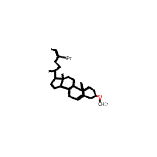 C/C=C(\CCC(C)C1CCC2C3CC=C4CC(OC=O)CCC4(C)C3CCC12C)C(C)C